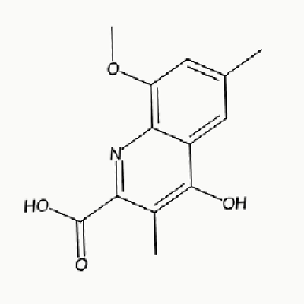 COc1cc(C)cc2c(O)c(C)c(C(=O)O)nc12